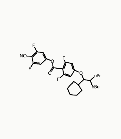 CCCCC(CCC)C(Oc1cc(F)c(C(=O)Oc2cc(F)c(C#N)c(F)c2)c(F)c1)C1CCCCC1